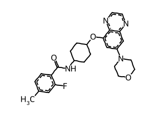 Cc1ccc(C(=O)NC2CCC(Oc3cc(N4CCOCC4)cc4nccnc34)CC2)c(F)c1